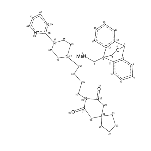 CNCC12CCC(c3ccccc31)c1ccccc12.O=C1CC2(CCCC2)CC(=O)N1CCCCN1CCN(c2ncccn2)CC1